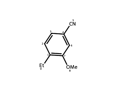 CCc1ccc(C#N)cc1OC